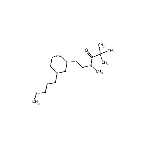 CSCCCN1CCO[C@H](CCN(C)C(=O)C(C)(C)C)C1